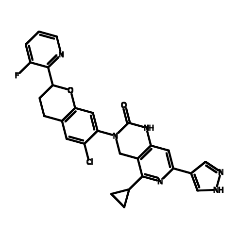 O=C1Nc2cc(-c3cn[nH]c3)nc(C3CC3)c2CN1c1cc2c(cc1Cl)CCC(c1ncccc1F)O2